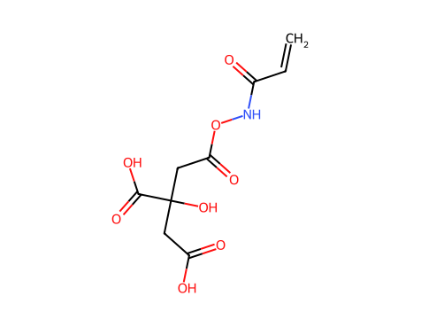 C=CC(=O)NOC(=O)CC(O)(CC(=O)O)C(=O)O